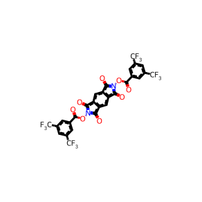 O=C(On1c(=O)c2cc3c(=O)n(OC(=O)c4cc(C(F)(F)F)cc(C(F)(F)F)c4)c(=O)c3cc2c1=O)c1cc(C(F)(F)F)cc(C(F)(F)F)c1